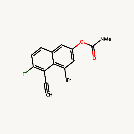 C#Cc1c(F)ccc2cc(OC(=O)NC)cc(C(C)C)c12